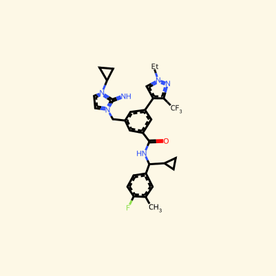 CCn1cc(-c2cc(Cn3ccn(C4CC4)c3=N)cc(C(=O)NC(c3ccc(F)c(C)c3)C3CC3)c2)c(C(F)(F)F)n1